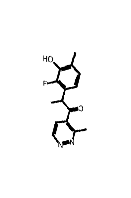 Cc1ccc(C(C)C(=O)c2ccnnc2C)c(F)c1O